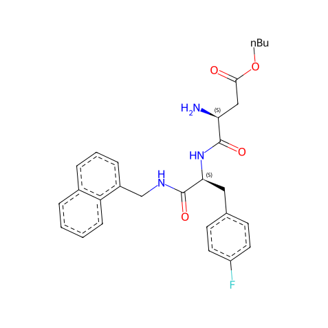 CCCCOC(=O)C[C@H](N)C(=O)N[C@@H](Cc1ccc(F)cc1)C(=O)NCc1cccc2ccccc12